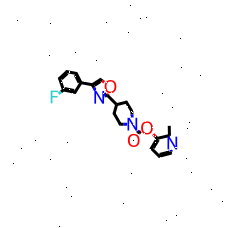 Cc1ncccc1OC(=O)N1CCC(c2nc(-c3cccc(F)c3)co2)CC1